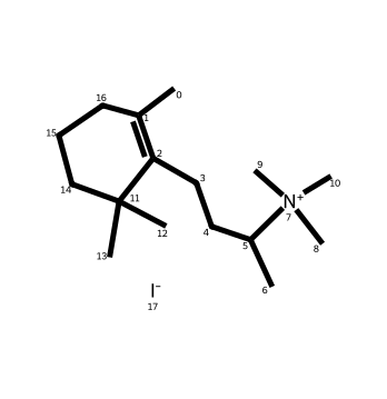 CC1=C(CCC(C)[N+](C)(C)C)C(C)(C)CCC1.[I-]